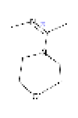 C/N=C(/C)N1CCOCC1